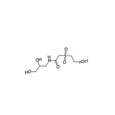 CCCCCCCCCCS(=O)(=O)CC(=O)NCC(O)CO